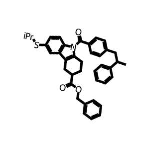 CC(C)Sc1ccc2c(c1)c1c(n2C(=O)c2ccc(CC(C)c3ccccc3)cc2)CCC(C(=O)OCc2ccccc2)C1